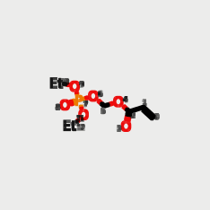 C=CC(=O)OCOP(=O)(OCC)OCC